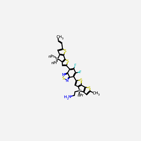 C/C=C/c1cc2c(s1)-c1sc(-c3c(F)c(F)c(-c4cc5c(s4)-c4sc(C)cc4[Si]5(CCC)CCN)c4nsnc34)cc1[Si]2(CCC)CCC